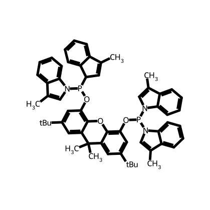 CC1=CC(P(Oc2cc(C(C)(C)C)cc3c2Oc2c(OP(n4cc(C)c5ccccc54)n4cc(C)c5ccccc54)cc(C(C)(C)C)cc2C3(C)C)n2cc(C)c3ccccc32)c2ccccc21